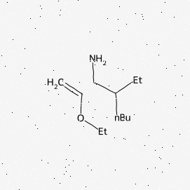 C=COCC.CCCCC(CC)CN